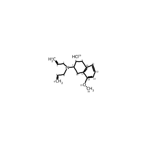 C=CCN(CC=C)C1CCc2cccc(OC)c2C1.Cl